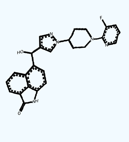 O=C1Nc2ccc(C(O)c3cnn(C4CCN(c5ncccc5F)CC4)c3)c3cccc1c23